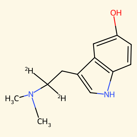 [2H]C([2H])(Cc1c[nH]c2ccc(O)cc12)N(C)C